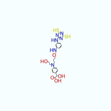 O=C(O)C(O)c1ccc(N(CCO)CCCOCNc2cccc(Nc3nc(S)nc(S)n3)c2)cc1